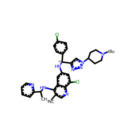 CC(Nc1c(C#N)cnc2c(Cl)cc(N[C@@H](c3ccc(Cl)cc3)c3cn(C4CCN(C(C)(C)C)CC4)nn3)cc12)c1ccccn1